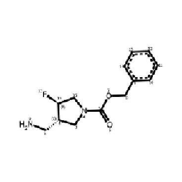 NC[C@H]1CN(C(=O)OCc2ccccc2)C[C@@H]1F